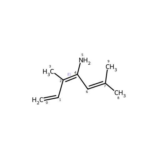 C=C/C(C)=C(/N)C=C(C)C